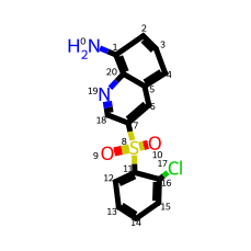 Nc1cccc2cc(S(=O)(=O)c3ccccc3Cl)cnc12